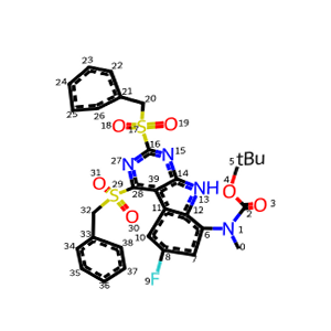 CN(C(=O)OC(C)(C)C)c1cc(F)cc2c1[nH]c1nc(S(=O)(=O)Cc3ccccc3)nc(S(=O)(=O)Cc3ccccc3)c12